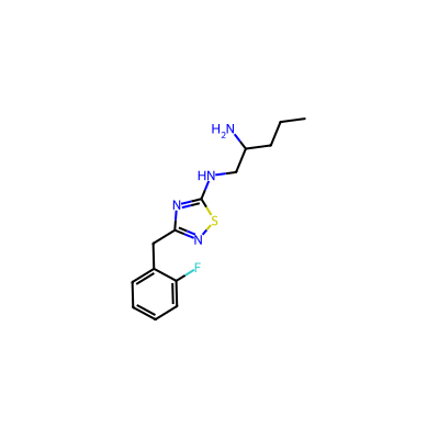 CCCC(N)CNc1nc(Cc2ccccc2F)ns1